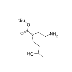 CC(O)CCN(CCN)C(=O)OC(C)(C)C